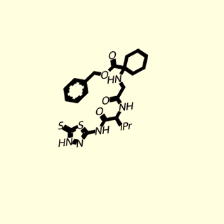 CC(C)C(NC(=O)CNC1(C(=O)OCc2ccccc2)CCCCC1)C(=O)Nc1n[nH]c(=S)s1